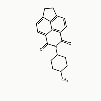 CC1CCC(N2C(=O)c3ccc4c5c(ccc(c35)C2=O)CC4)CC1